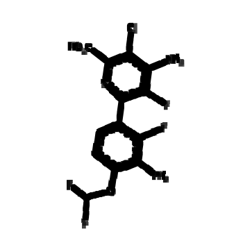 Nc1c(F)c(-c2ccc(OC(F)F)c(P)c2F)nc(C(=O)O)c1Cl